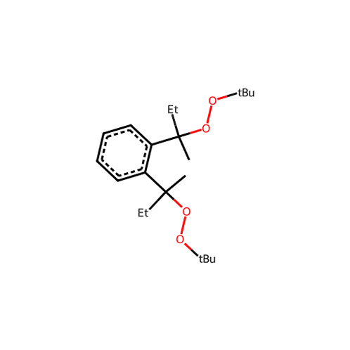 CCC(C)(OOC(C)(C)C)c1ccccc1C(C)(CC)OOC(C)(C)C